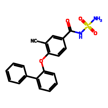 N#Cc1cc(C(=O)NS(N)(=O)=O)ccc1Oc1ccccc1-c1ccccc1